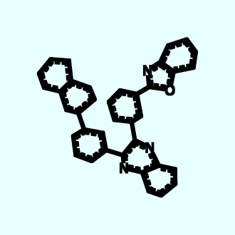 c1cc(-c2ccc3ccccc3c2)cc(-c2nc3ccccc3nc2-c2cccc(-c3nc4ccccc4o3)c2)c1